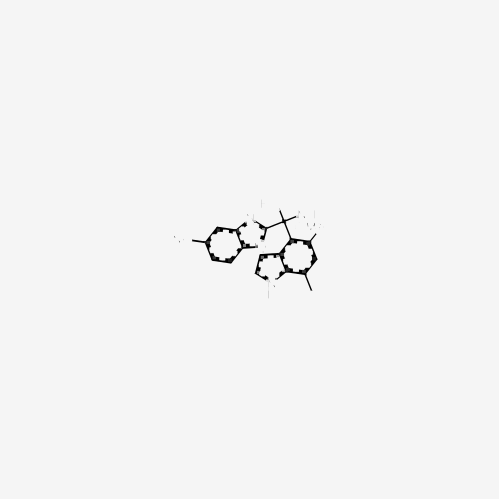 COc1cc(C)c2[nH]ccc2c1C(N)(c1nc2cc(C#N)ccc2o1)C(F)(F)F